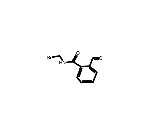 O=Cc1ccccc1C(=O)NCBr